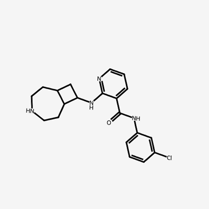 O=C(Nc1cccc(Cl)c1)c1cccnc1NC1CC2CCNCCC21